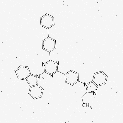 CCc1nc2ccccc2n1-c1ccc(-c2nc(-c3ccc(-c4ccccc4)cc3)nc(-n3c4ccccc4c4ccccc43)n2)cc1